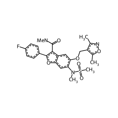 CNC(=O)c1c(-c2ccc(F)cc2)oc2cc(N(C)S(C)(=O)=O)c(OCc3c(C)noc3C)cc12